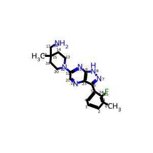 Cc1cccc(-c2n[nH]c3nc(N4CCC(C)(CN)CC4)cnc23)c1F